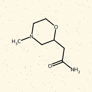 CN1CCOC(CC(N)=O)C1